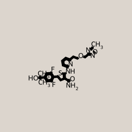 Cc1nc(COCCc2cccc(NC3=C(C(N)=O)CC(c4c(F)cc(C(C)(C)O)cc4F)S3)n2)no1